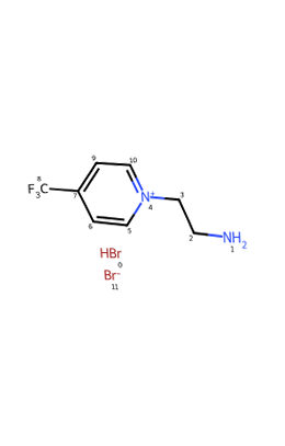 Br.NCC[n+]1ccc(C(F)(F)F)cc1.[Br-]